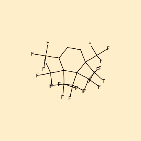 FC(F)(F)C1CCC(C(F)(F)F)(C(F)(F)F)C(C(F)(F)F)(C(F)(F)F)C1(C(F)(F)F)C(F)(F)F